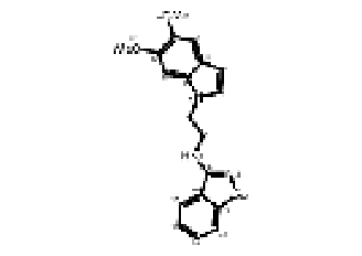 COc1cc2ccn(CCNc3nsc4ccccc34)c2cc1OC